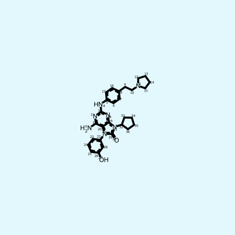 Nc1nc(Nc2ccc(CCN3CCCC3)cc2)nc2c1n(-c1cccc(O)c1)c(=O)n2C1CCCC1